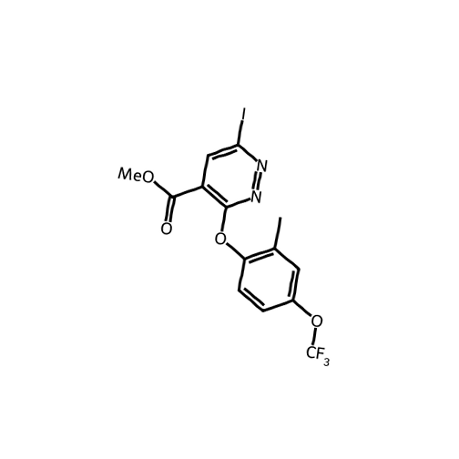 COC(=O)c1cc(I)nnc1Oc1ccc(OC(F)(F)F)cc1C